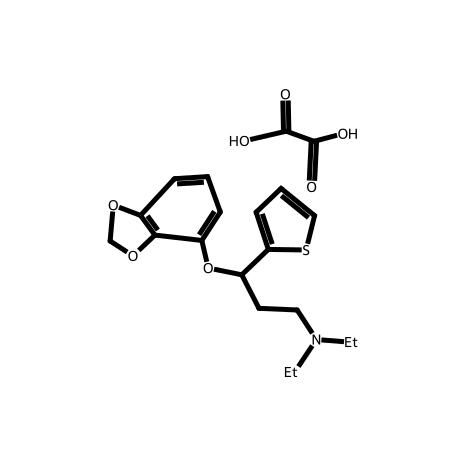 CCN(CC)CCC(Oc1cccc2c1OCO2)c1cccs1.O=C(O)C(=O)O